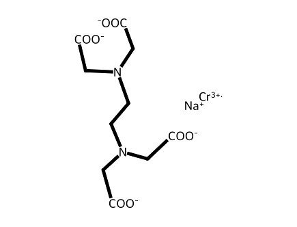 O=C([O-])CN(CCN(CC(=O)[O-])CC(=O)[O-])CC(=O)[O-].[Cr+3].[Na+]